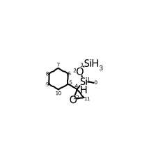 C[SiH](O[SiH3])C1(C2CCCCC2)CO1